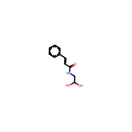 O=C(C=Cc1ccccc1)NCC(O)O